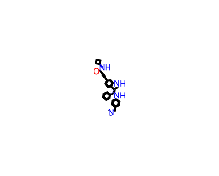 CN(C)Cc1ccc(N/C(=C2\CNc3cc(C#CC(=O)NC4CCC4)ccc32)c2ccccc2)cc1